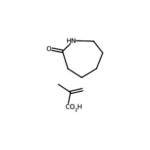 C=C(C)C(=O)O.O=C1CCCCCN1